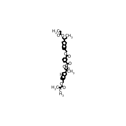 C=CC(=O)OCC(CC)C1CC2C3CC(COC(=O)c4cccc(C(=O)OCC(C)(CC)C5CC6C7CC(CC7COC(=O)C(=C)C)[C@H]6C5)c4)C(C3)C2C1